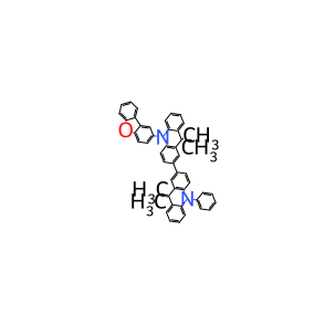 CC1(C)c2ccccc2N(c2ccccc2)c2ccc(-c3ccc4c(c3)C(C)(C)c3ccccc3N4c3ccc4oc5ccccc5c4c3)cc21